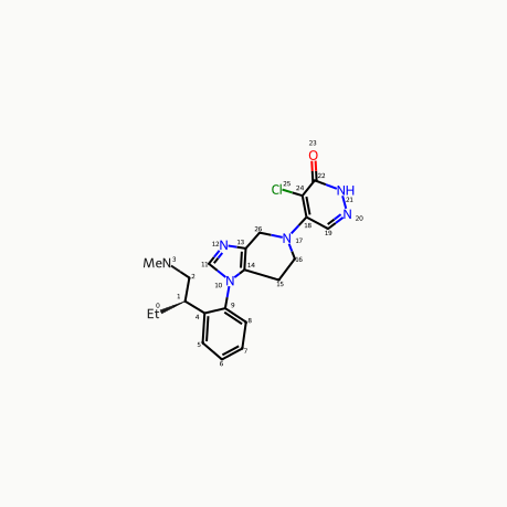 CC[C@@H](CNC)c1ccccc1-n1cnc2c1CCN(c1cn[nH]c(=O)c1Cl)C2